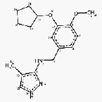 COc1ccc(CNc2n[nH]cc2C)cc1OC1CCCC1